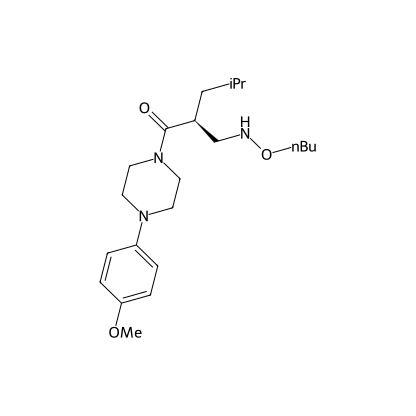 CCCCONC[C@H](CC(C)C)C(=O)N1CCN(c2ccc(OC)cc2)CC1